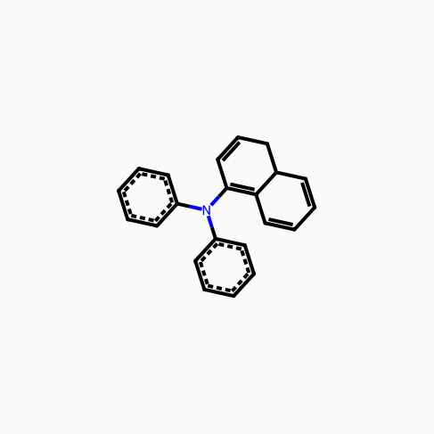 C1=CC2=C(N(c3ccccc3)c3ccccc3)C=CCC2C=C1